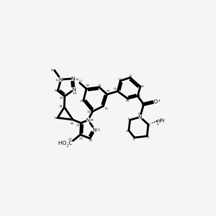 CCC[C@@H]1CCCCN1C(=O)c1cccc(-c2cc(C)cc(-n3ncc(C(=O)O)c3C3CC3c3cn(C)nn3)c2)c1